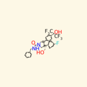 O=C(NCc1ccccc1)N1C[C@@H](c2ccc(C(O)(C(F)(F)F)C(F)(F)F)cc2)[C@@](CO)(c2ccc(F)cc2)C1